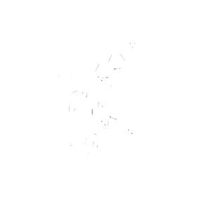 COc1ccc2c(O[C@@H]3C[C@@H](C(=O)N[C@]4(C(=O)NS(=O)(=O)OC5(C)CC5)C[C@H]4CN)N(C(=O)[C@@H](NC(=O)OC(C)(C)C)C(C)(C)C)C3)nccc2c1